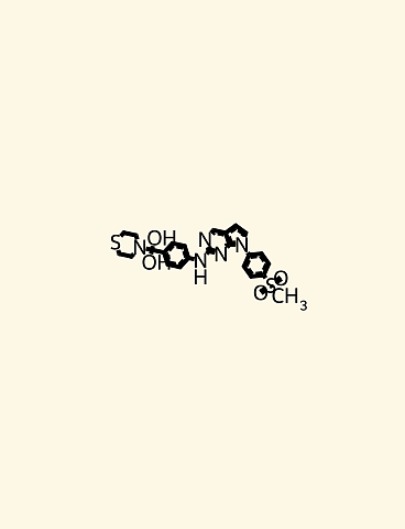 CS(=O)(=O)c1ccc(-n2ccc3cnc(Nc4ccc(C(O)(O)N5CCSCC5)cc4)nc32)cc1